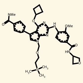 CNC(=O)c1ccc(-c2cn(COCC[Si](C)(C)C)c3nc(Nc4ccc(C(=O)NC5COC5)cc4OC)nc(OC4CCC4)c23)cc1